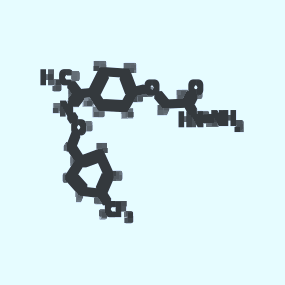 CC(=NOCc1ccc(C(F)(F)F)cc1)c1ccc(OCC(=O)NN)cc1